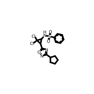 O=S(=O)(NC1C(c2nc(C3CCCC3)no2)C1(Cl)Cl)c1ccccc1